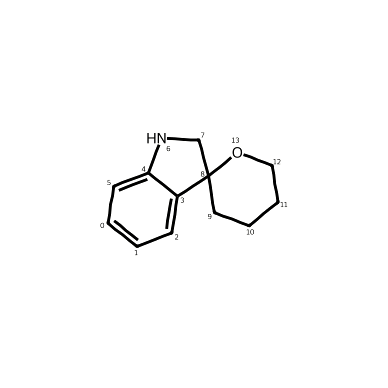 c1ccc2c(c1)NCC21CCCCO1